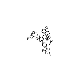 C=C(F)C(=O)N1CCN(c2nc(OC[C@@H]3C[C@@H](F)CN3C)nc3c2NC(=O)C2(C3)OCCc3c(Cl)cccc32)C[C@@H]1CC#N